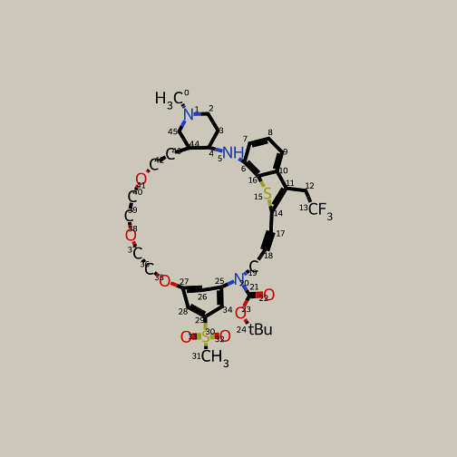 CN1CCC2Nc3cccc4c(CC(F)(F)F)c(sc34)C#CCN(C(=O)OC(C)(C)C)c3cc(cc(S(C)(=O)=O)c3)OCCOCCOCCC2C1